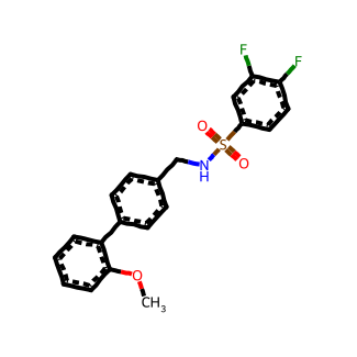 COc1ccccc1-c1ccc(CNS(=O)(=O)c2ccc(F)c(F)c2)cc1